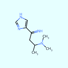 CC(CC(=N)c1c[nH]cn1)N(C)C